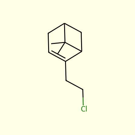 CC1(C)C2CC=C(CCCl)C1C2